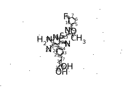 Cc1oc(-c2cccc(F)c2)nc1CSc1nc(N)c(C#N)c(-c2ccc(CC[C@H](O)CO)cc2)c1C#N